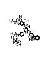 CCC(=O)N[C@H]1C[C@@H](n2cnc3c(N[C@H](CO)Cc4c[nH]c5ccccc45)nc(N4CC[C@@H](N(C)C)C4)nc32)[C@H](O)[C@@H]1O.O=C(O)C(F)(F)F